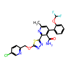 Cc1cc(-c2ccccc2OC(F)F)c(C(N)=O)c(-c2nnc(OCc3ccc(Cl)cn3)s2)n1